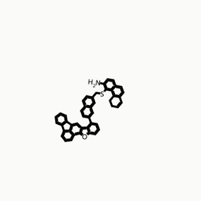 Nc1ccc2ccc3c(c2c1SCc1ccc2ccc(-c4cccc5oc6c7cccc8c7c(cc6c45)-c4ccccc4-8)cc2c1)CCC=C3